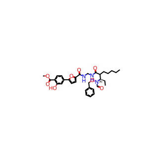 CCCCCC(C(=O)NCNC(=O)c1ccc(-c2ccc(C(=O)OC)c(O)c2)o1)[C@@H](CC)N(C=O)OCc1ccccc1